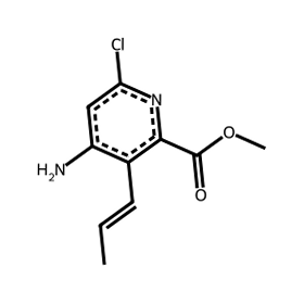 CC=Cc1c(N)cc(Cl)nc1C(=O)OC